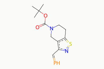 CC(C)(C)OC(=O)N1CCc2snc(C=P)c2C1